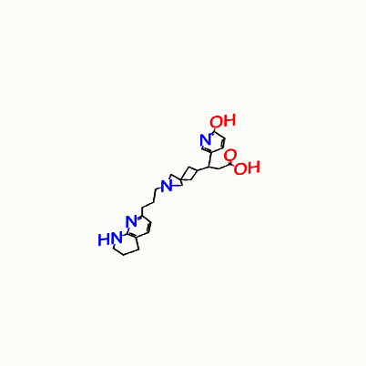 O=C(O)CC(c1ccc(O)nc1)C1CC2(C1)CN(CCCc1ccc3c(n1)NCCC3)C2